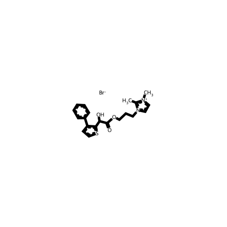 Cc1n(CCCOC(=O)C(O)c2sccc2-c2ccccc2)cc[n+]1C.[Br-]